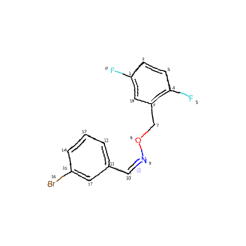 Fc1ccc(F)c(CO/N=[C]\c2cccc(Br)c2)c1